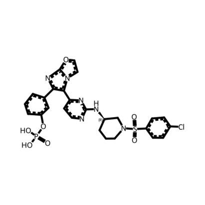 O=P(O)(O)Oc1cccc(-c2nc3occn3c2-c2ccnc(N[C@@H]3CCCN(S(=O)(=O)c4ccc(Cl)cc4)C3)n2)c1